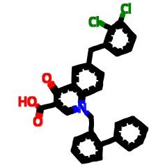 O=C(O)c1cn(Cc2ccccc2-c2ccccc2)c2ccc(Cc3cccc(Cl)c3Cl)cc2c1=O